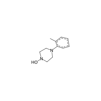 Cc1ccccc1N1CCN(O)CC1